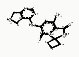 Cc1cc(Nc2ncnc3c2CNC3)c(=O)n2c1C(=O)NC21CCC1